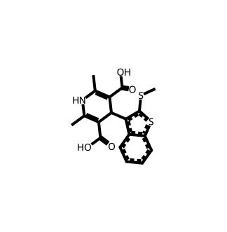 CSc1sc2ccccc2c1C1C(C(=O)O)=C(C)NC(C)=C1C(=O)O